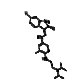 Cc1cc(N/C=C2/C(=O)Nc3cc(F)ccc32)ccc1NCCN(C(C)C)C(C)C